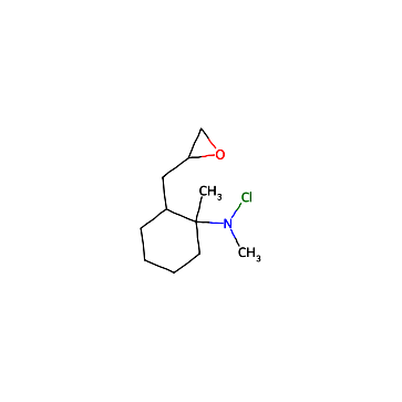 CN(Cl)C1(C)CCCCC1CC1CO1